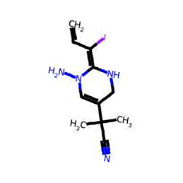 C=C/C(I)=C1/NCC(C(C)(C)C#N)=CN1N